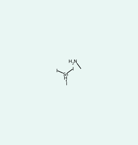 CN.[I][SnH]([I])[I]